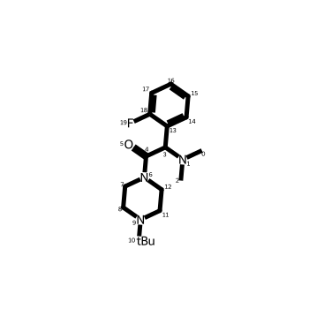 CN(C)C(C(=O)N1CCN(C(C)(C)C)CC1)c1ccccc1F